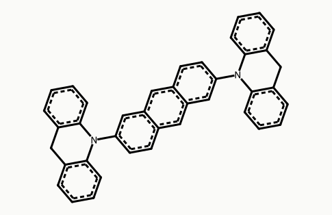 c1ccc2c(c1)Cc1ccccc1N2c1ccc2cc3cc(N4c5ccccc5Cc5ccccc54)ccc3cc2c1